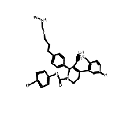 C#CC1=C(c2cc(Cl)ccc2C)CCN(C(=O)Oc2ccc(Cl)cc2)C1c1ccc(CCCCCNC(C)C)cc1